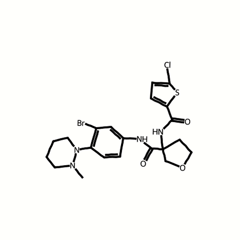 CN1CCCCN1c1ccc(NC(=O)C2(NC(=O)c3ccc(Cl)s3)CCOC2)cc1Br